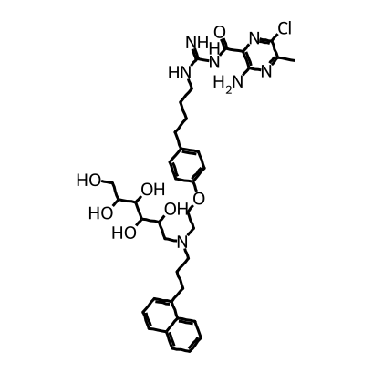 Cc1nc(N)c(C(=O)NC(=N)NCCCCc2ccc(OCCN(CCCc3cccc4ccccc34)CC(O)C(O)C(O)C(O)CO)cc2)nc1Cl